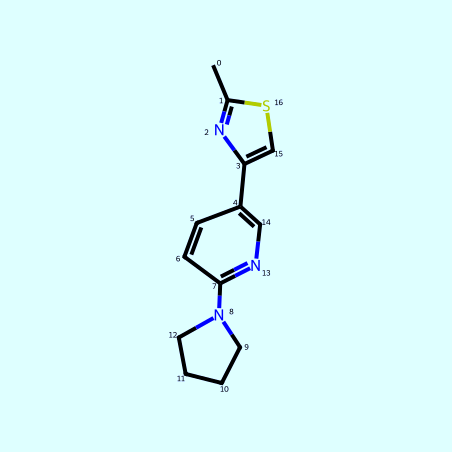 Cc1nc(-c2ccc(N3CCCC3)nc2)cs1